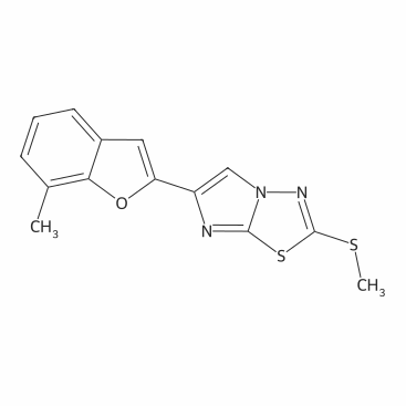 CSc1nn2cc(-c3cc4cccc(C)c4o3)nc2s1